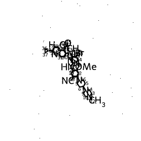 COc1cc(N2CCC(N3CCN(C)CC3)CC2)c(C#N)cc1Nc1ncc(Br)c(Nc2ccc3nc(C4CC4)ccc3c2P(C)(C)=O)n1